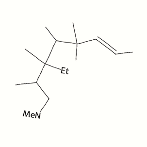 CC=CC(C)(C)C(C)C(C)(CC)C(C)CNC